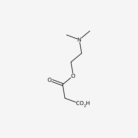 CN(C)CCOC(=O)CC(=O)O